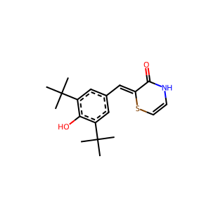 CC(C)(C)c1cc(C=C2SC=CNC2=O)cc(C(C)(C)C)c1O